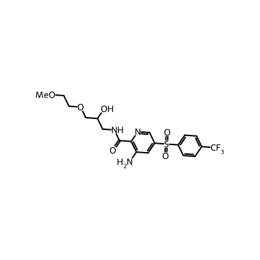 COCCOCC(O)CNC(=O)c1ncc(S(=O)(=O)c2ccc(C(F)(F)F)cc2)cc1N